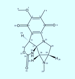 COC1=C(C)C(=O)C2=C(C1=O)[C@@H]1COC(=O)N[C@@]13[C@@H]1[C@H](CN23)N1C